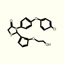 O=C1CSC(c2cccc(OCCO)c2)N1c1ccc(Oc2ccc(Cl)cc2)cc1